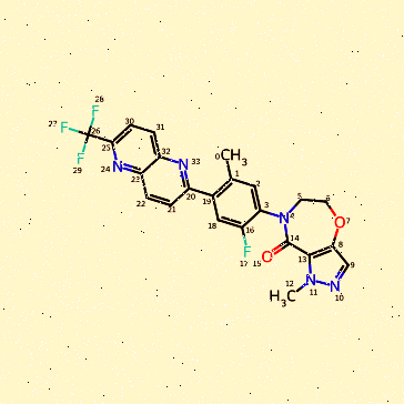 Cc1cc(N2CCOc3cnn(C)c3C2=O)c(F)cc1-c1ccc2nc(C(F)(F)F)ccc2n1